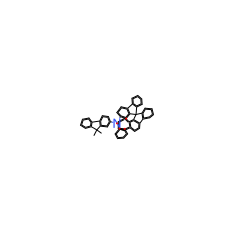 CC1(C)c2ccccc2-c2ccc(N(c3ccccc3)c3ccc4c(c3)C3(c5ccccc5-4)c4ccccc4-c4ccc5ccccc5c43)cc21